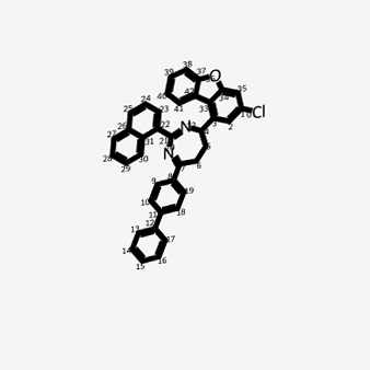 Clc1cc(C2CCC(c3ccc(-c4ccccc4)cc3)=NC(c3cccc4ccccc34)=N2)c2c(c1)oc1ccccc12